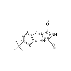 CC(C)(C)c1ccc(/C=C2\NC(=O)NC2=O)cc1